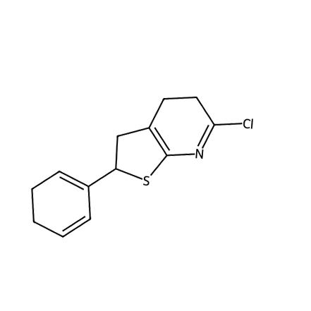 ClC1=NC2=C(CC1)CC(C1=CCCC=C1)S2